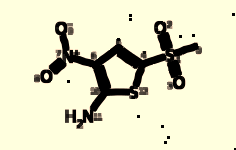 CS(=O)(=O)c1cc([N+](=O)[O-])c(N)s1